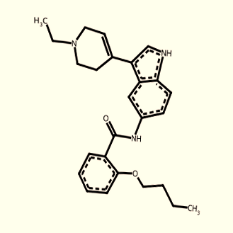 CCCCOc1ccccc1C(=O)Nc1ccc2[nH]cc(C3=CCN(CC)CC3)c2c1